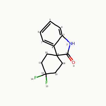 O=C1Nc2ccccc2C12CCC(F)(F)CC2